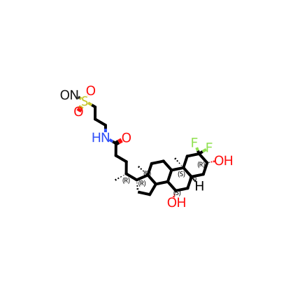 C[C@H](CCC(=O)NCCCS(=O)(=O)N=O)[C@H]1CCC2C3C(CC[C@@]21C)[C@@]1(C)CC(F)(F)[C@H](O)C[C@H]1C[C@@H]3O